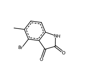 Cc1ccc2c(c1Br)C(=O)C(=O)N2